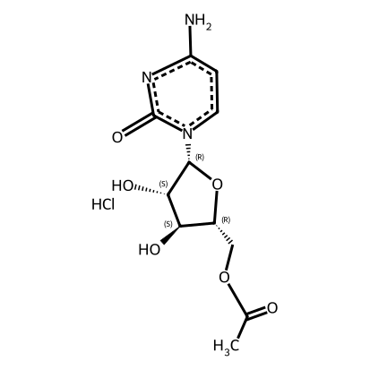 CC(=O)OC[C@H]1O[C@@H](n2ccc(N)nc2=O)[C@@H](O)[C@@H]1O.Cl